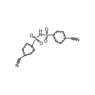 N#Cc1ccc(S(=O)(=O)NS(=O)(=O)c2ccc(C#N)cc2)cc1